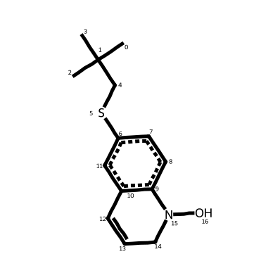 CC(C)(C)CSc1ccc2c(c1)C=CCN2O